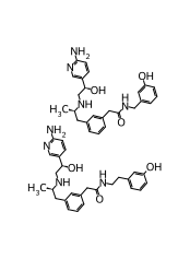 C[C@H](Cc1cccc(CC(=O)NCCc2cccc(O)c2)c1)NC[C@H](O)c1ccc(N)nc1.C[C@H](Cc1cccc(CC(=O)NCc2cccc(O)c2)c1)NC[C@H](O)c1ccc(N)nc1